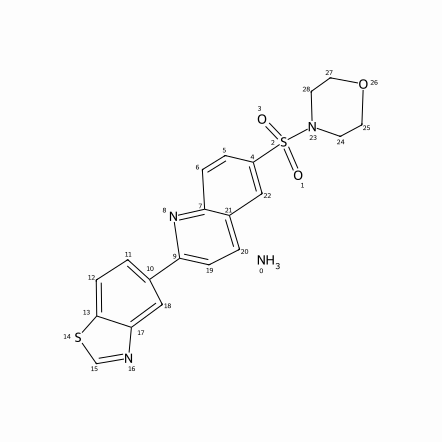 N.O=S(=O)(c1ccc2nc(-c3ccc4scnc4c3)ccc2c1)N1CCOCC1